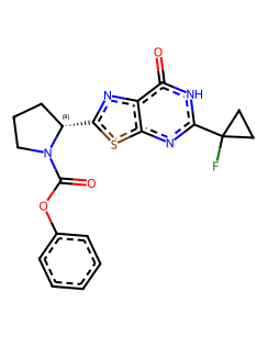 O=C(Oc1ccccc1)N1CCC[C@@H]1c1nc2c(=O)[nH]c(C3(F)CC3)nc2s1